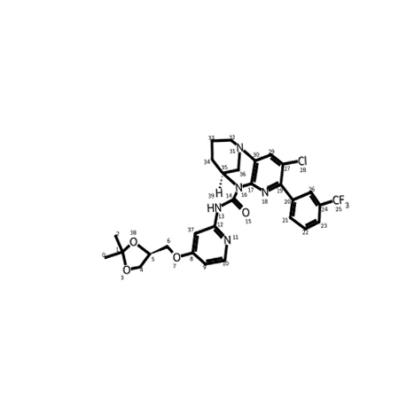 CC1(C)OC[C@H](COc2ccnc(NC(=O)N3c4nc(-c5cccc(C(F)(F)F)c5)c(Cl)cc4N4CCC[C@H]3C4)c2)O1